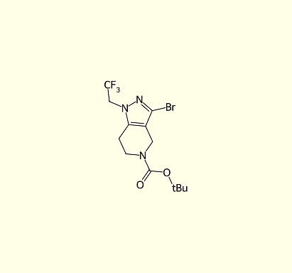 CC(C)(C)OC(=O)N1CCc2c(c(Br)nn2CC(F)(F)F)C1